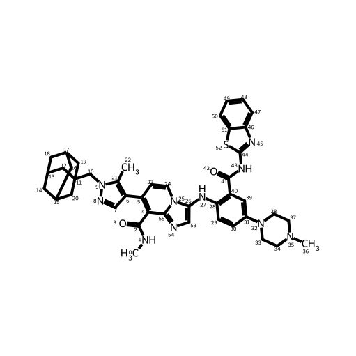 CNC(=O)c1c(-c2cnn(CC34CC5CC(CC(C5)C3)C4)c2C)ccn2c(Nc3ccc(N4CCN(C)CC4)cc3C(=O)Nc3nc4ccccc4s3)cnc12